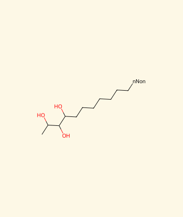 CCCCCCCCCCCCCCCCC(O)C(O)C(C)O